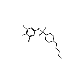 CCCCCC1CCC(C(F)(F)Oc2cc(F)c(I)c(F)c2)CC1